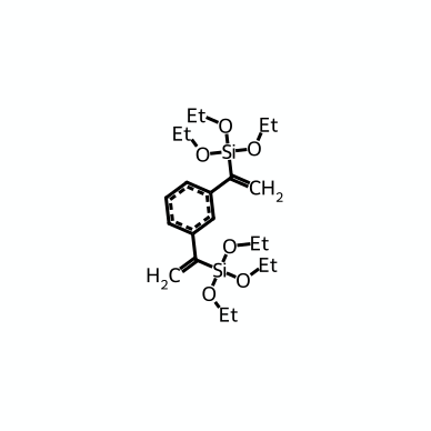 C=C(c1cccc(C(=C)[Si](OCC)(OCC)OCC)c1)[Si](OCC)(OCC)OCC